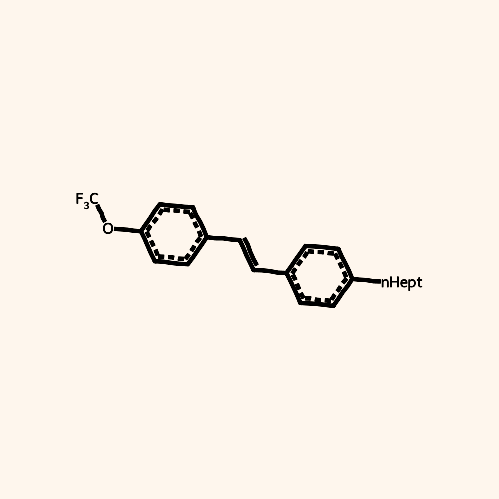 CCCCCCCc1ccc(C=Cc2ccc(OC(F)(F)F)cc2)cc1